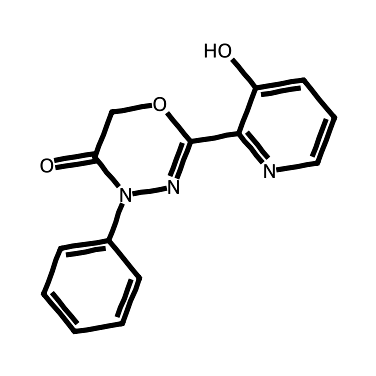 O=C1COC(c2ncccc2O)=NN1c1ccccc1